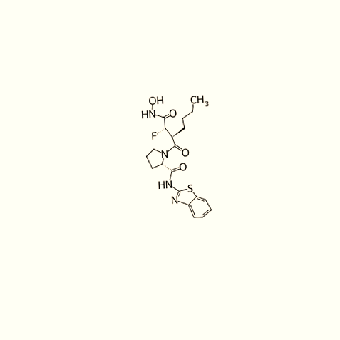 CCCC[C@@H](C(=O)N1CCC[C@H]1C(=O)Nc1nc2ccccc2s1)[C@H](F)C(=O)NO